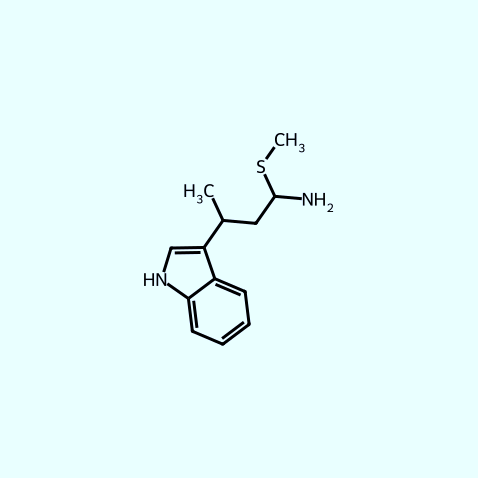 CSC(N)CC(C)c1c[nH]c2ccccc12